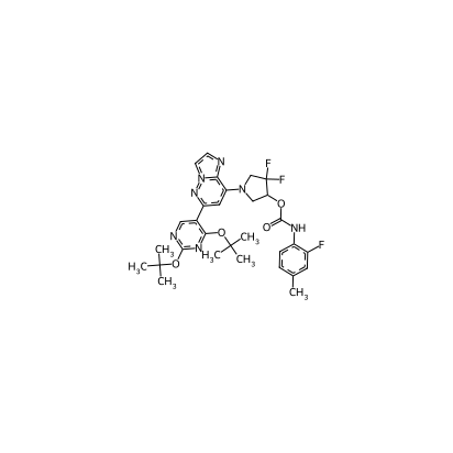 Cc1ccc(NC(=O)OC2CN(c3cc(-c4cnc(OC(C)(C)C)nc4OC(C)(C)C)nn4ccnc34)CC2(F)F)c(F)c1